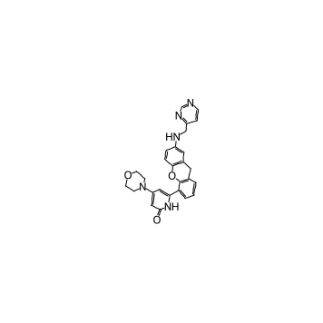 O=c1cc(N2CCOCC2)cc(-c2cccc3c2Oc2ccc(NCc4ccncn4)cc2C3)[nH]1